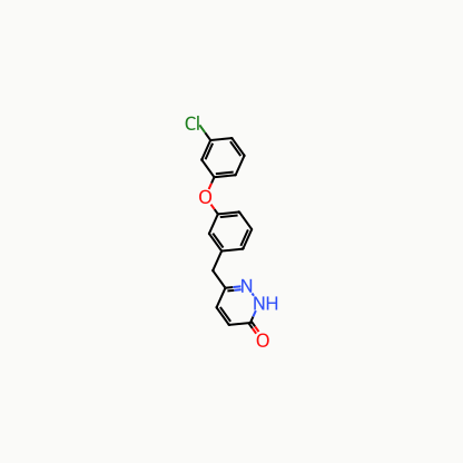 O=c1ccc(Cc2cccc(Oc3cccc(Cl)c3)c2)n[nH]1